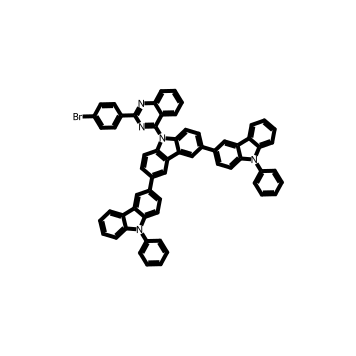 Brc1ccc(-c2nc(-n3c4ccc(-c5ccc6c(c5)c5ccccc5n6-c5ccccc5)cc4c4cc(-c5ccc6c(c5)c5ccccc5n6-c5ccccc5)ccc43)c3ccccc3n2)cc1